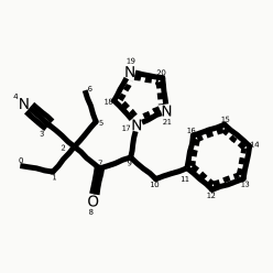 CCC(C#N)(CC)C(=O)C(Cc1ccccc1)n1cncn1